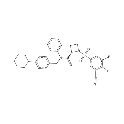 N#Cc1cc(S(=O)(=O)N2CC[C@@H]2C(=O)N(Cc2ccc(C3CCCCC3)cc2)c2ccccc2)cc(F)c1F